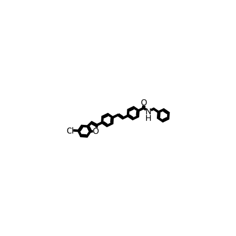 O=C(NCc1ccccc1)c1ccc(C=Cc2ccc(-c3cc4cc(Cl)ccc4o3)cc2)cc1